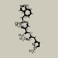 C=C(S/C(Cc1ccn(C)n1)=N\C)C(/C=N\N(C=O)Cc1cccc2[nH]ncc12)=C/C